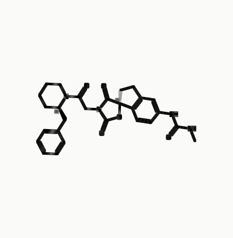 CNC(=O)Nc1ccc2c(c1)CC[C@@]21OC(=O)N(CC(=O)N2CCCC[C@@H]2Cc2ccccc2)C1=O